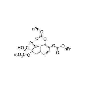 CCCOC(=O)Oc1ccc(C[C@](NC(C)C)(OC(=O)OCC)C(=O)O)cc1OC(=O)OCCC